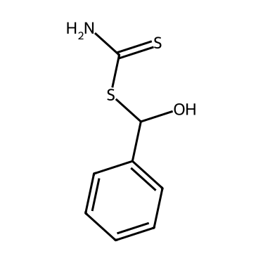 NC(=S)SC(O)c1ccccc1